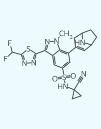 Cn1nc(-c2nnc(C(F)F)s2)c2cc(S(=O)(=O)NC3(C#N)CC3)cc(C3=CC4CCC(C3)N4)c21